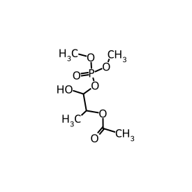 COP(=O)(OC)OC(O)C(C)OC(C)=O